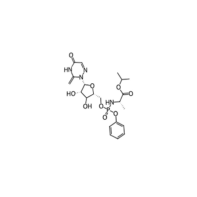 C=C1NC(=O)C=NN1[C@@H]1O[C@H](COP(=O)(N[C@@H](C)C(=O)OC(C)C)Oc2ccccc2)C(O)[C@@H]1O